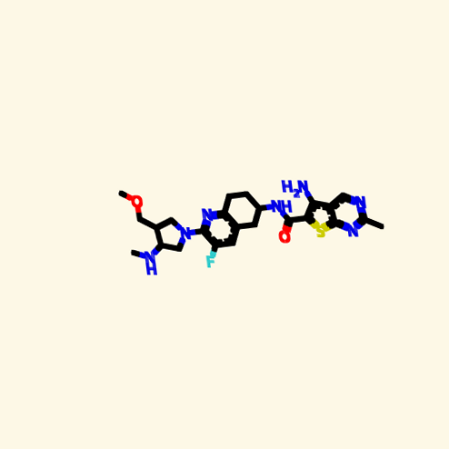 CNC1CN(c2nc3c(cc2F)CC(NC(=O)c2sc4nc(C)ncc4c2N)CC3)CC1COC